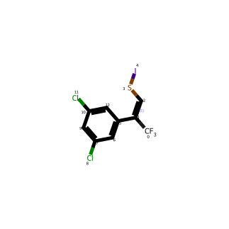 FC(F)(F)/C(=C/SI)c1cc(Cl)cc(Cl)c1